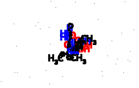 CCNC(=O)[C@H]1O[C@@H](n2cnc3c(NCC(c4cccc(C)c4)c4cccc(C)c4)nc(C(=O)NCCNC(=O)NCCN4CCCCC4)nc32)[C@@H](O)[C@@H]1O